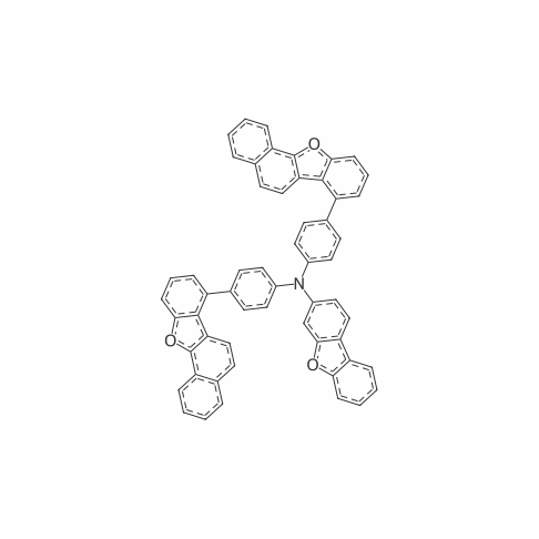 c1ccc2c(c1)ccc1c2oc2cccc(-c3ccc(N(c4ccc(-c5cccc6oc7c8ccccc8ccc7c56)cc4)c4ccc5c(c4)oc4ccccc45)cc3)c21